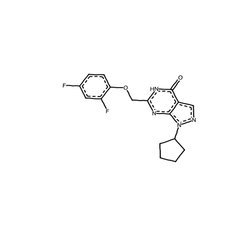 O=c1[nH]c(COc2ccc(F)cc2F)nc2c1cnn2C1CCCC1